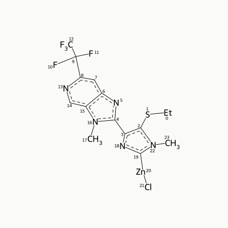 CCSc1c(-c2nc3cc(C(F)(F)C(F)(F)F)ncc3n2C)n[c]([Zn][Cl])n1C